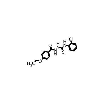 CCOc1ccc(C(=O)NNC(=S)Nc2ccccc2Cl)cc1